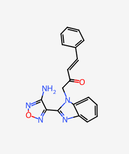 Nc1nonc1-c1nc2ccccc2n1CC(=O)C=Cc1ccccc1